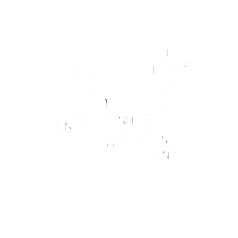 Cc1ccc(C[C@H](CON)NC(=O)c2c(Oc3cccc(C(F)(F)F)c3)nnc3c2CCCC3)c(C)c1